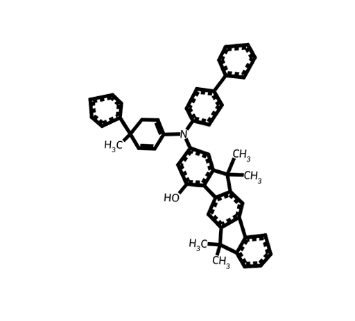 CC1(c2ccccc2)C=CC(N(c2ccc(-c3ccccc3)cc2)c2cc(O)c3c(c2)C(C)(C)c2cc4c(cc2-3)C(C)(C)c2ccccc2-4)=CC1